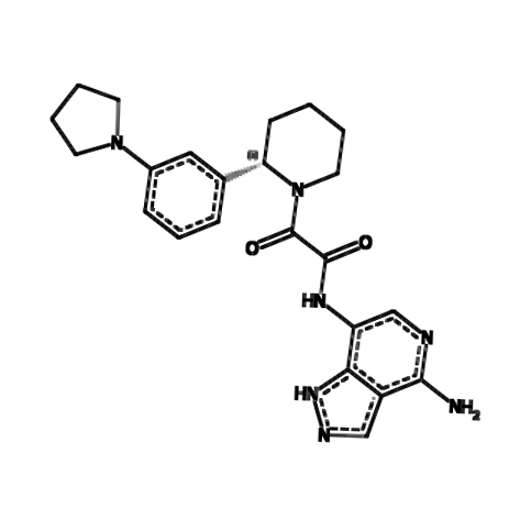 Nc1ncc(NC(=O)C(=O)N2CCCC[C@H]2c2cccc(N3CCCC3)c2)c2[nH]ncc12